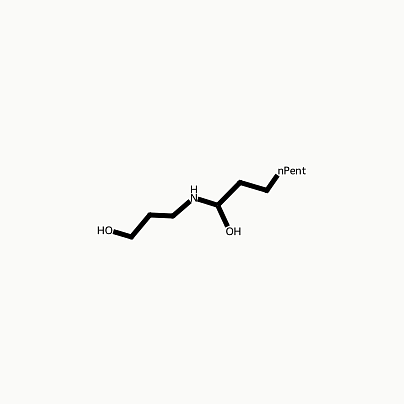 CCCCCCCC(O)NCCCO